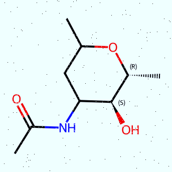 CC(=O)NC1CC(C)O[C@H](C)[C@H]1O